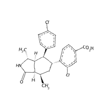 C[C@@H]1C[C@@H](c2ccc(C(=O)O)cc2Cl)[C@H](c2ccc(Cl)cc2)[C@H]2[C@@H]1C(=O)N[C@@H]2C